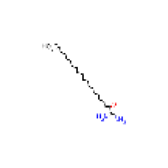 NC[C@H](N)C(=O)CCCCCCCCCCCCCCCCCCC(=O)O